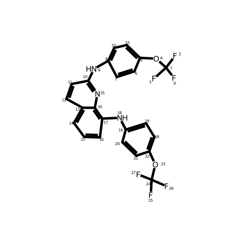 FC(F)(F)Oc1ccc(Nc2ccc3cccc(Nc4ccc(OC(F)(F)F)cc4)c3n2)cc1